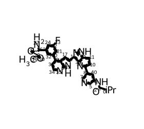 CC(C)C(=O)Nc1cncc(-c2ccc3[nH]nc(-c4cc5c(-c6cc(F)cc(C(N)S(C)(=O)=O)c6)ccnc5[nH]4)c3n2)c1